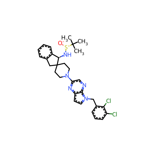 CC(C)(C)[S@@+]([O-])N[C@@H]1c2ccccc2CC12CCN(c1cnc3c(ccn3Cc3cccc(Cl)c3Cl)n1)CC2